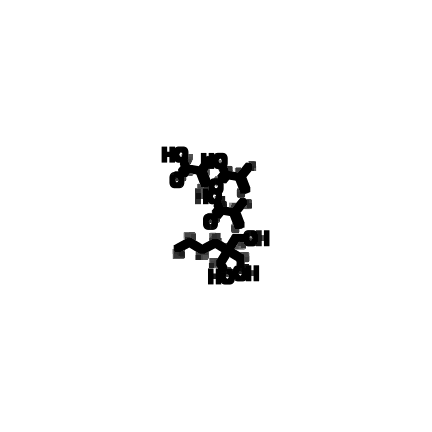 C=C(C)C(=O)O.C=C(C)C(=O)O.C=C(C)C(=O)O.CCCCC(CO)(CO)CO